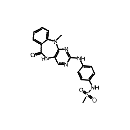 CN1c2ccccc2C(=O)Nc2cnc(Nc3ccc(NS(C)(=O)=O)cc3)nc21